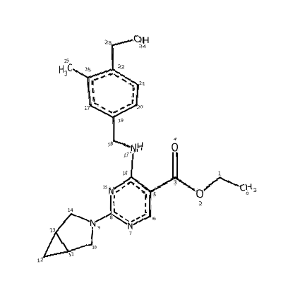 CCOC(=O)c1cnc(N2CC3CC3C2)nc1NCc1ccc(CO)c(C)c1